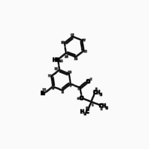 CC(C)(C)OC(=O)c1cc(Br)cc(Nc2ccccc2)c1